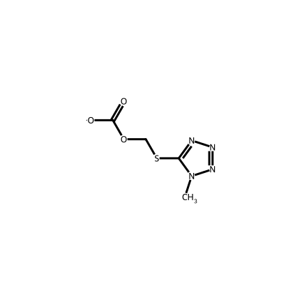 Cn1nnnc1SCOC([O])=O